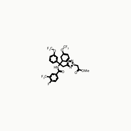 COC(=O)Cn1nnc(CC(NC(=O)c2ccc(F)c(C(F)(F)F)c2)(c2cccc(OC(F)(F)F)c2)C2C=CC=C(OC(F)(F)F)C2)n1